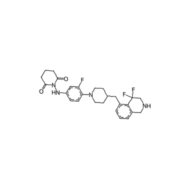 O=C1CCCC(=O)N1Nc1ccc(N2CCC(Cc3cccc4c3C(F)(F)CNC4)CC2)c(F)c1